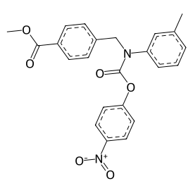 COC(=O)c1ccc(CN(C(=O)Oc2ccc([N+](=O)[O-])cc2)c2cccc(C)c2)cc1